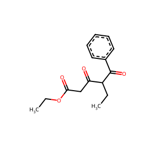 CCOC(=O)CC(=O)C(CC)C(=O)c1ccccc1